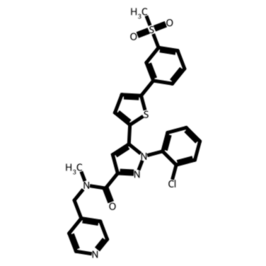 CN(Cc1ccncc1)C(=O)c1cc(-c2ccc(-c3cccc(S(C)(=O)=O)c3)s2)n(-c2ccccc2Cl)n1